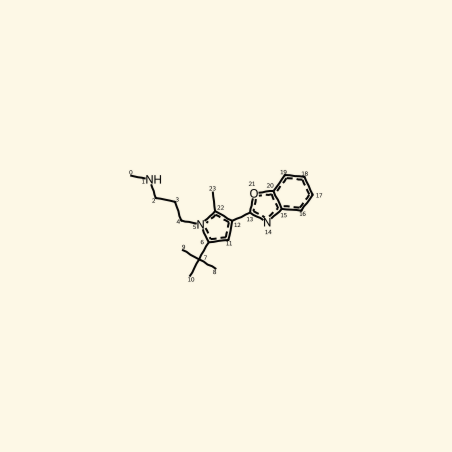 CNCCCn1c(C(C)(C)C)cc(-c2nc3ccccc3o2)c1C